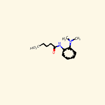 CN(C)c1ccccc1NC(=O)CCCC(=O)O